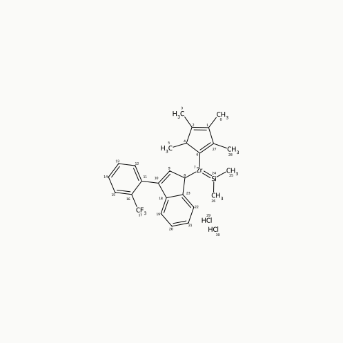 CC1=C(C)C(C)[C]([Zr]([CH]2C=C(c3ccccc3C(F)(F)F)c3ccccc32)=[Si](C)C)=C1C.Cl.Cl